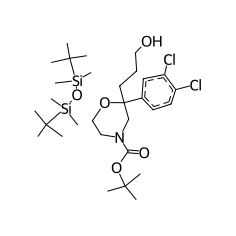 CC(C)(C)OC(=O)N1CCOC(CCCO)(c2ccc(Cl)c(Cl)c2)C1.CC(C)(C)[Si](C)(C)O[Si](C)(C)C(C)(C)C